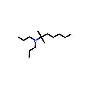 CCCCCC(C)(C)N(CCC)CCC